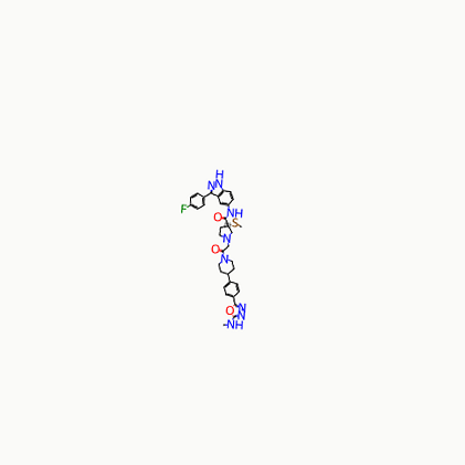 CNc1nnc(-c2ccc(C3CCN(C(=O)CN4CC[C@@](SC)(C(=O)Nc5ccc6[nH]nc(-c7ccc(F)cc7)c6c5)C4)CC3)cc2)o1